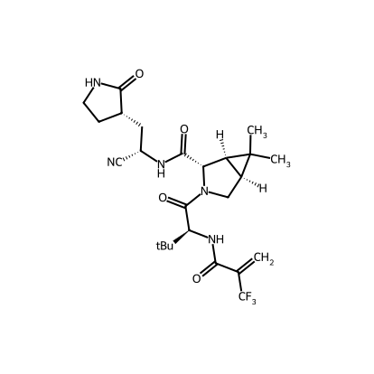 C=C(C(=O)N[C@H](C(=O)N1C[C@H]2[C@@H]([C@H]1C(=O)N[C@H](C#N)C[C@@H]1CCNC1=O)C2(C)C)C(C)(C)C)C(F)(F)F